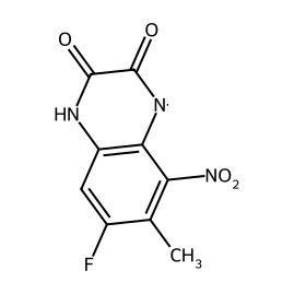 Cc1c(F)cc2c(c1[N+](=O)[O-])[N]C(=O)C(=O)N2